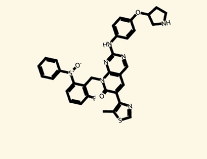 Cc1scnc1-c1cc2cnc(Nc3ccc(OC4CCNC4)cc3)nc2n(Cc2c(F)cccc2[S+]([O-])c2ccccc2)c1=O